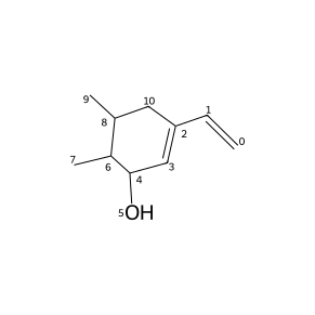 C=CC1=CC(O)C(C)C(C)C1